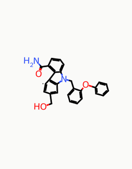 NC(=O)c1cccc2c1c1[c]cc(CO)cc1n2Cc1ccccc1Oc1ccccc1